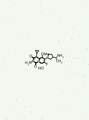 COc1c(N2CCC([C@H](C)N)C2)c(F)cn2c(=O)n(N)c(=O)c(C3CC3)c12.Cl